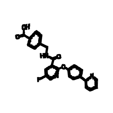 O=C(O)c1ccc(CNC(=O)c2cc(F)cnc2Oc2ccc(-c3ccccn3)cc2)cc1